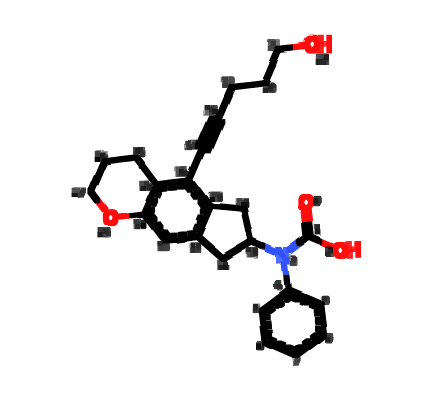 O=C(O)N(c1ccccc1)C1Cc2cc3c(c(C#CCCCO)c2C1)CCCO3